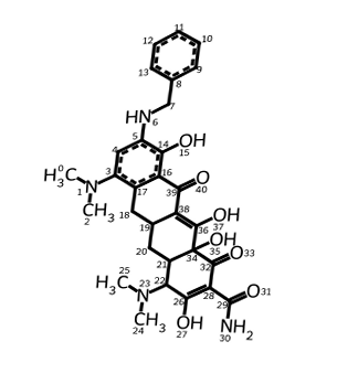 CN(C)c1cc(NCc2ccccc2)c(O)c2c1CC1CC3C(N(C)C)C(O)=C(C(N)=O)C(=O)C3(O)C(O)=C1C2=O